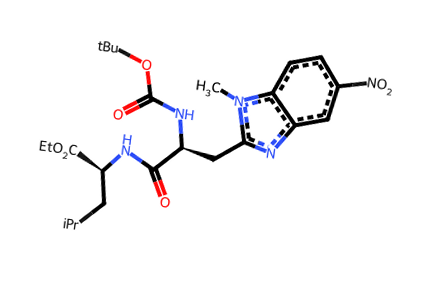 CCOC(=O)[C@H](CC(C)C)NC(=O)[C@H](Cc1nc2cc([N+](=O)[O-])ccc2n1C)NC(=O)OC(C)(C)C